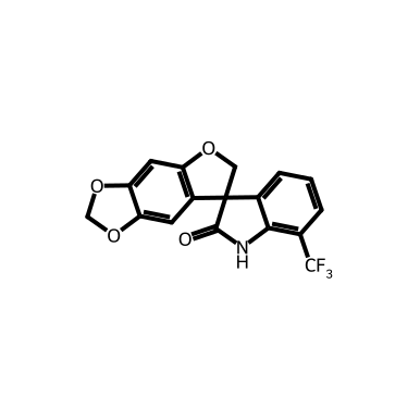 O=C1Nc2c(C(F)(F)F)cccc2C12COc1cc3c(cc12)OCO3